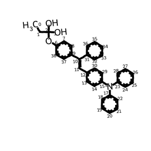 CCC(O)(O)Oc1ccc(/C(=C/c2ccc(N(c3ccccc3)c3ccccc3)cc2)c2ccccc2)cc1